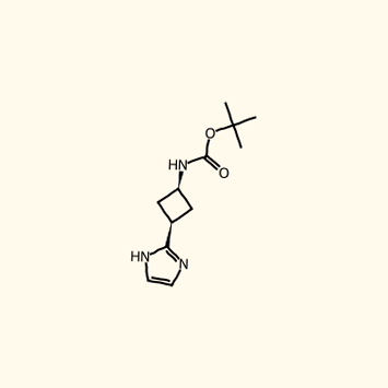 CC(C)(C)OC(=O)N[C@H]1C[C@@H](c2ncc[nH]2)C1